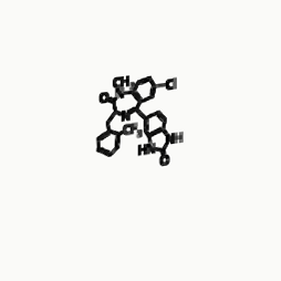 CN1C(=O)C(Cc2ccccc2C(F)(F)F)N=C(c2ccc3[nH]c(=O)[nH]c3c2)c2cc(Cl)ccc21